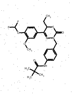 CCC1SC(=O)N(Cc2ccc(NC(=O)C(C)(C)C)cc2)N=C1c1ccc(OC(F)F)c(OC)c1